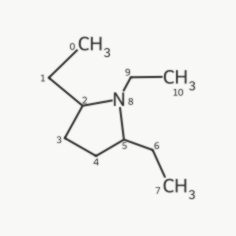 CCC1CCC(CC)N1CC